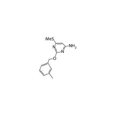 CSc1cc(N)nc(OCc2cccc(C)c2)n1